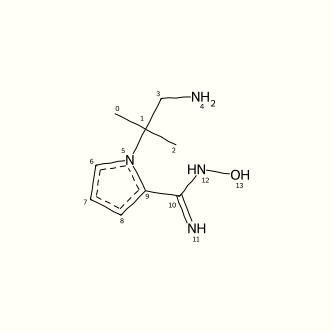 CC(C)(CN)n1cccc1C(=N)NO